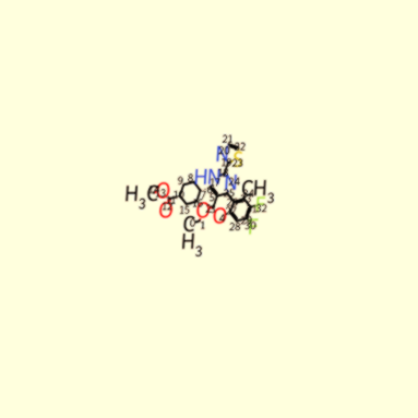 CCOC(=O)C1=C([C@H]2CC[C@H](C(=O)OC)CC2)NC(c2nccs2)=NC1c1ccc(F)c(F)c1C